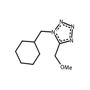 COCc1nnnn1CC1CCCCC1